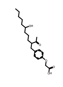 CCCCCC(O)CCCC(Cc1ccc(OCC(=O)O)cc1)C(C)=O